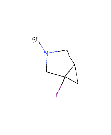 CCN1CC2CC2(I)C1